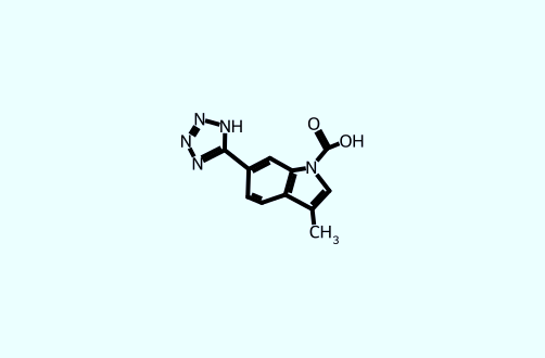 Cc1cn(C(=O)O)c2cc(-c3nnn[nH]3)ccc12